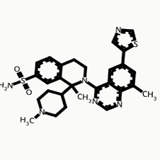 Cc1cc(-c2cncs2)cc2c(N3CCc4ccc(S(N)(=O)=O)cc4C3(C)C3CCN(C)CC3)ncnc12